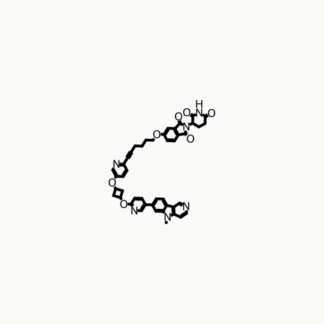 Cn1c2ccncc2c2ccc(-c3ccc(OC4CC(Oc5ccc(C#CCCCCOc6ccc7c(c6)C(=O)N(C6CCC(=O)NC6=O)C7=O)nc5)C4)nc3)cc21